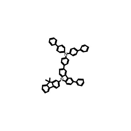 CC1(C)c2ccccc2-c2ccc(-n3c4ccc(-c5ccccc5)cc4c4cc(-c5ccc(N(c6ccc(-c7ccccc7)cc6)c6ccc(-c7ccccc7)cc6)cc5)ccc43)cc21